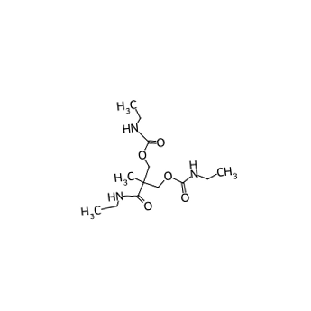 CCNC(=O)OCC(C)(COC(=O)NCC)C(=O)NCC